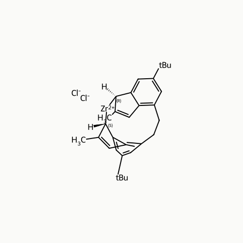 CC1=Cc2c3cc(C(C)(C)C)cc2[C@@H]1[Zr+2][C@H]1C(C)=Cc2c(cc(C(C)(C)C)cc21)CC3.[Cl-].[Cl-]